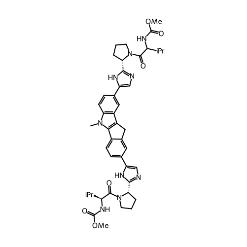 COC(=O)NC(C(=O)N1CCC[C@H]1c1ncc(-c2ccc3c(c2)c2c(n3C)-c3ccc(-c4cnc([C@@H]5CCCN5C(=O)[C@@H](NC(=O)OC)C(C)C)[nH]4)cc3C2)[nH]1)C(C)C